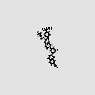 N#Cc1ccc2c(c1)CN(c1cccc(N3CCN(Cc4nc5ccc(C(=O)O)cc5n4C[C@@H]4CCO4)CC3)n1)CC2